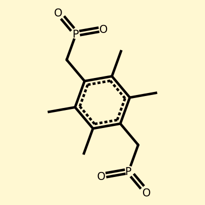 Cc1c(C)c(CP(=O)=O)c(C)c(C)c1CP(=O)=O